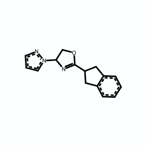 c1ccc2c(c1)CC(C1=NC(n3cccn3)CO1)C2